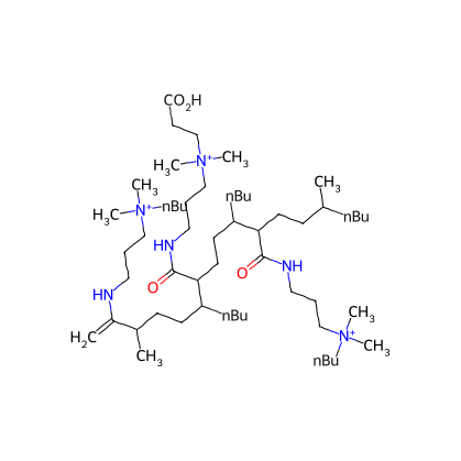 C=C(NCCC[N+](C)(C)CCCC)C(C)CCC(CCCC)C(CCC(CCCC)C(CCC(C)CCCC)C(=O)NCCC[N+](C)(C)CCCC)C(=O)NCCC[N+](C)(C)CCC(=O)O